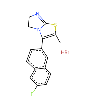 Br.CC1=C(c2ccc3cc(F)ccc3c2)N2CCN=C2S1